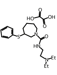 CCN(CC)CCNC(=O)N1CCCCC(Sc2ccccc2)C1.O=C(O)C(=O)O